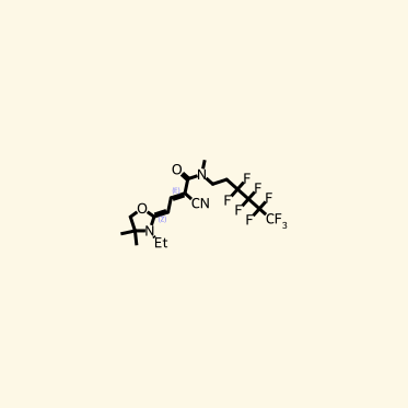 CCN1/C(=C/C=C(\C#N)C(=O)N(C)CCC(F)(F)C(F)(F)C(F)(F)C(F)(F)F)OCC1(C)C